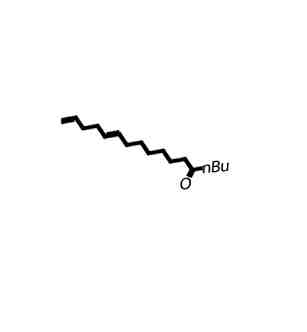 C=CCCC=CCCCCCCC(=O)CCCC